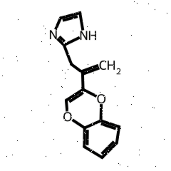 C=C(Cc1ncc[nH]1)C1=COc2ccccc2O1